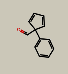 O=CC1(c2ccccc2)C=CC=C1